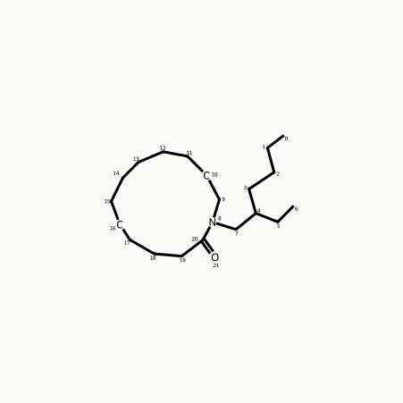 CCCCC(CC)CN1CCCCCCCCCCCC1=O